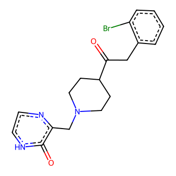 O=C(Cc1ccccc1Br)C1CCN(Cc2ncc[nH]c2=O)CC1